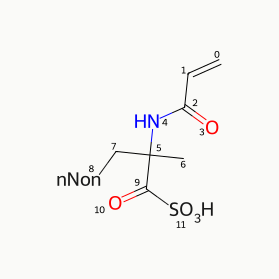 C=CC(=O)NC(C)(CCCCCCCCCC)C(=O)S(=O)(=O)O